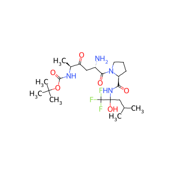 CC(C)CC(O)(NC(=O)[C@@H]1CCCN1C(=O)[C@@H](N)CC(=O)[C@H](C)NC(=O)OC(C)(C)C)C(F)(F)F